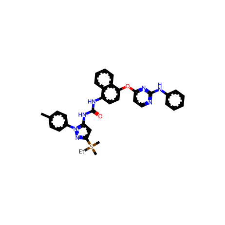 CCS(C)(C)c1cc(NC(=O)Nc2ccc(Oc3ccnc(Nc4ccccc4)n3)c3ccccc23)n(-c2ccc(C)cc2)n1